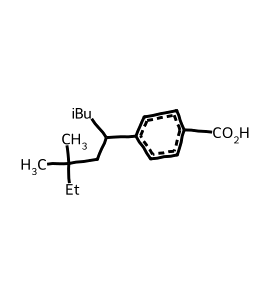 CCC(C)C(CC(C)(C)CC)c1ccc(C(=O)O)cc1